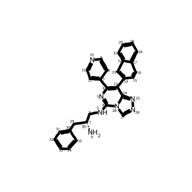 N[C@@H](CNc1nc(-c2ccncc2)c(-c2ccc3ccccc3c2)c2nncn12)Cc1ccccc1